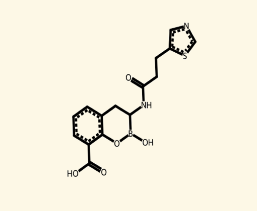 O=C(CCc1cncs1)NC1Cc2cccc(C(=O)O)c2OB1O